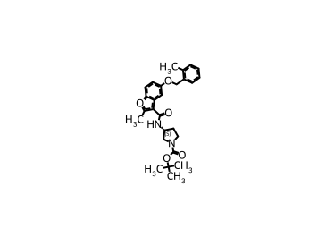 Cc1ccccc1COc1ccc2oc(C)c(C(=O)N[C@H]3CCN(C(=O)OC(C)(C)C)C3)c2c1